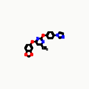 Cc1cc(Oc2ccc3c(c2)OCO3)nc(Oc2ccc(-n3ccnc3)cc2)n1